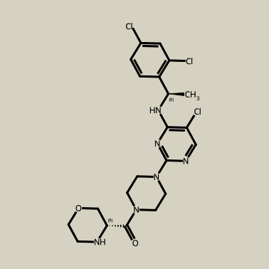 C[C@@H](Nc1nc(N2CCN(C(=O)[C@H]3COCCN3)CC2)ncc1Cl)c1ccc(Cl)cc1Cl